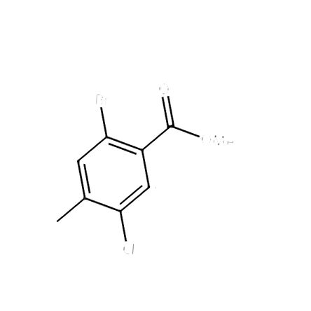 COC(=O)c1cc(Cl)c(C)cc1Br